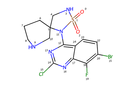 O=S1(=O)NCC2(CCCNC2)N1c1nc(Cl)nc2c(F)c(Br)ccc12